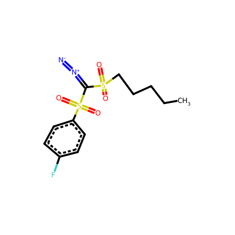 CCCCCS(=O)(=O)C(=[N+]=[N-])S(=O)(=O)c1ccc(F)cc1